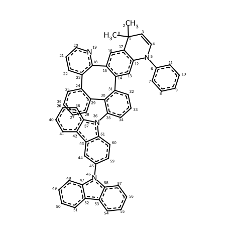 CC1(C)C=CN(c2ccccc2)c2cc3c(cc21)-c1ncccc1-c1ccccc1-c1c-3cccc1-n1c2ccccc2c2cc(-n3c4ccccc4c4ccccc43)ccc21